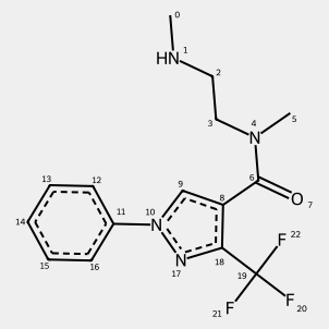 CNCCN(C)C(=O)c1cn(-c2ccccc2)nc1C(F)(F)F